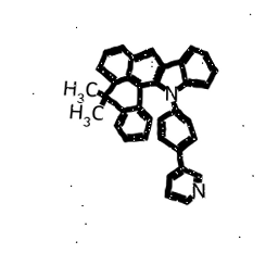 CC1(C)c2ccccc2-c2c3c1cccc3cc1c3ccccc3n(-c3ccc(-c4cccnc4)cc3)c21